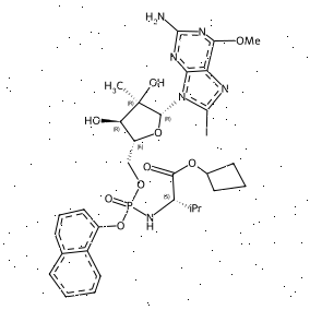 COc1nc(N)nc2c1nc(I)n2[C@@H]1O[C@H](COP(=O)(N[C@H](C(=O)OC2CCC2)C(C)C)Oc2cccc3ccccc23)[C@@H](O)[C@@]1(C)O